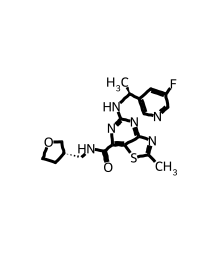 Cc1nc2nc(N[C@@H](C)c3cncc(F)c3)nc(C(=O)NC[C@@H]3CCOC3)c2s1